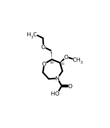 CCOC[C@H]1OCCN(C(=O)O)C[C@@H]1OC